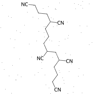 N#CCCCC(C#N)CCCC(C#N)CC(C#N)CCCC#N